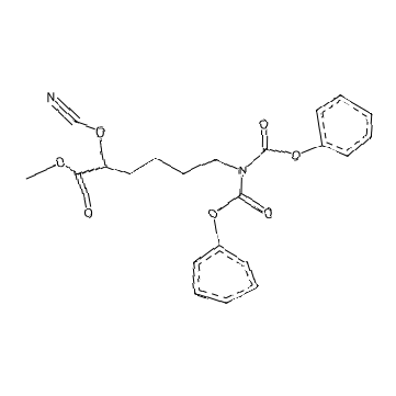 COC(=O)C(CCCCN(C(=O)Oc1ccccc1)C(=O)Oc1ccccc1)OC#N